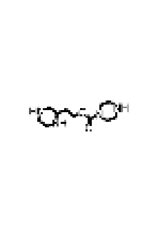 O=C(OCCC1CNCCN1)N1CCNCC1